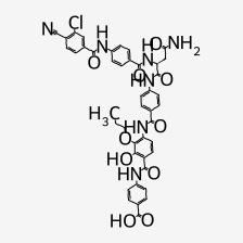 CCCOc1c(NC(=O)c2ccc(NC(=O)[C@H](CC(N)=O)NC(=O)c3ccc(NC(=O)c4ccc(C#N)c(Cl)c4)cc3)cc2)ccc(C(=O)Nc2ccc(C(=O)O)cc2)c1O